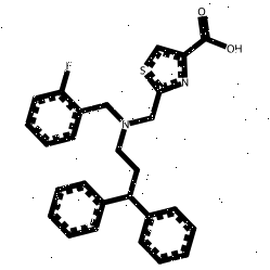 O=C(O)c1csc(CN(CCC(c2ccccc2)c2ccccc2)Cc2ccccc2F)n1